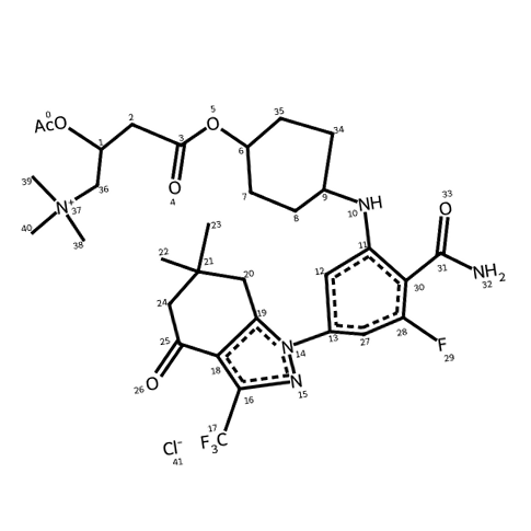 CC(=O)OC(CC(=O)OC1CCC(Nc2cc(-n3nc(C(F)(F)F)c4c3CC(C)(C)CC4=O)cc(F)c2C(N)=O)CC1)C[N+](C)(C)C.[Cl-]